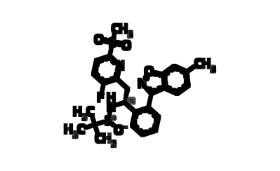 Cc1ccc2c(-c3ccccc3[C@H](Cc3nc(S(C)(=O)=O)ccc3F)N[S+]([O-])C(C)(C)C)noc2c1